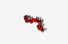 CN(CC(=O)NCCS(=O)(=O)CCNc1cccc2c1C(=O)N(C1CCC(=O)NC1=O)C2=O)C1CC(c2cccc(C3CSC(NC(=O)CNC(=O)C4CCN(S(C)(=O)=O)C4)N3)c2)CCN1